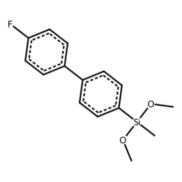 CO[Si](C)(OC)c1ccc(-c2ccc(F)cc2)cc1